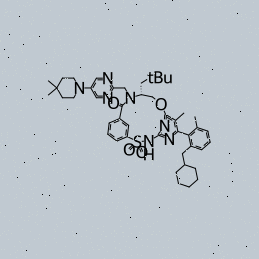 Cc1cccc(CC2CCCCC2)c1-c1nc2nc(c1C)OC[C@@H](CC(C)(C)C)N(Cc1ncc(N3CCC(C)(C)CC3)cn1)C(=O)c1cccc(c1)S(=O)(=O)N2